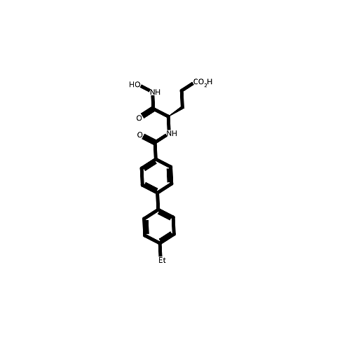 CCc1ccc(-c2ccc(C(=O)N[C@H](CCC(=O)O)C(=O)NO)cc2)cc1